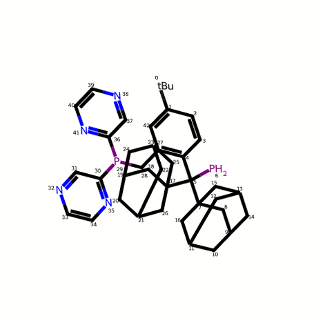 CC(C)(C)c1ccc(C(P)(C23CC4CC(CC(C4)C2)C3)C23CC4CC(CC(C4)C2)C3)c(CP(c2cnccn2)c2cnccn2)c1